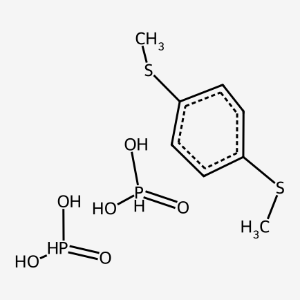 CSc1ccc(SC)cc1.O=[PH](O)O.O=[PH](O)O